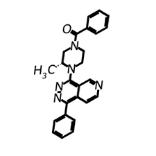 C[C@@H]1CN(C(=O)c2ccccc2)CCN1c1nnc(-c2ccccc2)c2ccncc12